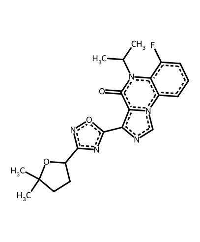 CC(C)n1c(=O)c2c(-c3nc(C4CCC(C)(C)O4)no3)ncn2c2cccc(F)c21